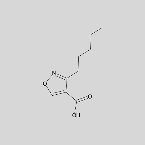 CCCCCc1nocc1C(=O)O